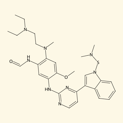 CCN(CC)CCN(C)c1cc(OC)c(Nc2nccc(-c3cn(SN(C)C)c4ccccc34)n2)cc1NC=O